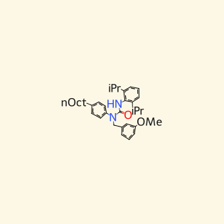 CCCCCCCCc1ccc(N(Cc2cccc(OC)c2)C(=O)Nc2c(C(C)C)cccc2C(C)C)cc1